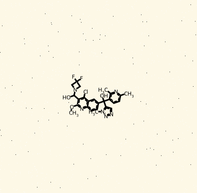 COc1nc2ccc(C(O)(c3ccc(C)nc3C)c3cnnn3C)cc2c(Cl)c1C(O)N1CC(F)(F)C1